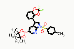 Cc1ccc(S(=O)(=O)n2cc(-c3cccc4c3OC(F)(F)O4)c3cc(B4OC(C)(C)C(C)(C)O4)cnc32)cc1